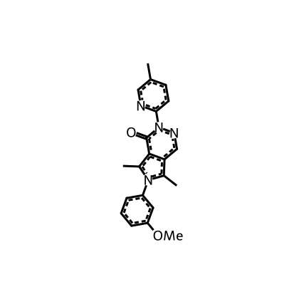 COc1cccc(-n2c(C)c3cnn(-c4ccc(C)cn4)c(=O)c3c2C)c1